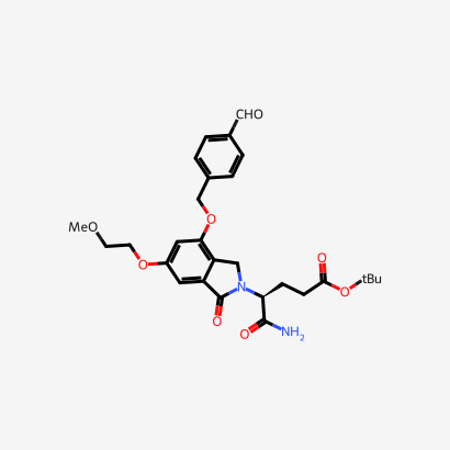 COCCOc1cc(OCc2ccc(C=O)cc2)c2c(c1)C(=O)N([C@@H](CCC(=O)OC(C)(C)C)C(N)=O)C2